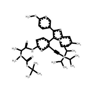 COc1ccc(-c2nc3cc(C)ccn3c2-c2ccc(NC(=O)C(C)N(C)C(=O)OC(C)(C)C)nc2C#C[Si](C(C)C)(C(C)C)C(C)C)cn1